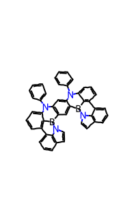 c1ccc(N2c3cc4c(cc3B3c5c(cccc52)-c2cccc5ccn3c25)B2c3c(cccc3N4c3ccccc3)-c3cccc4ccn2c34)cc1